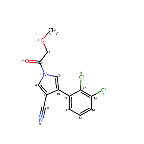 COCC(=O)n1cc(C#N)c(-c2cccc(Cl)c2Cl)c1